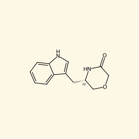 O=C1COC[C@H](Cc2c[nH]c3ccccc23)N1